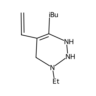 C=CC1=C(C(C)CC)NNN(CC)C1